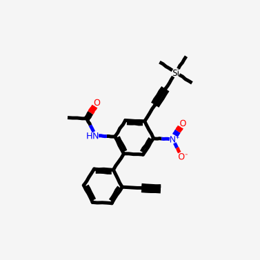 C#Cc1ccccc1-c1cc([N+](=O)[O-])c(C#C[Si](C)(C)C)cc1NC(C)=O